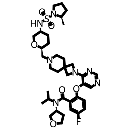 CC(C)N(C(=O)c1cc(F)ccc1Oc1cncnc1N1CC2(CCN(C[C@@H]3CC[C@@H](NS(=O)(=O)N4CCC[C@H]4C)CO3)CC2)C1)[C@@H]1CCOC1